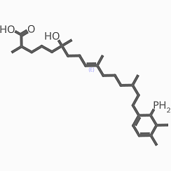 CC1=CC=C(CCC(C)CCC/C(C)=C/CCC(C)(O)CCCC(C)C(=O)O)C(P)C1C